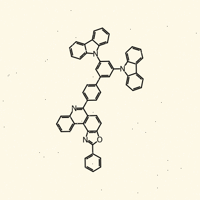 c1ccc(-c2nc3c(ccc4c(-c5ccc(-c6cc(-n7c8ccccc8c8ccccc87)cc(-n7c8ccccc8c8ccccc87)c6)cc5)nc5ccccc5c43)o2)cc1